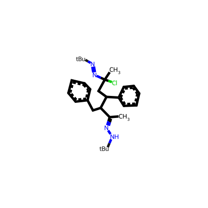 CC(=NNC(C)(C)C)C(Cc1ccccc1)C(CC(C)(Cl)N=NC(C)(C)C)c1ccccc1